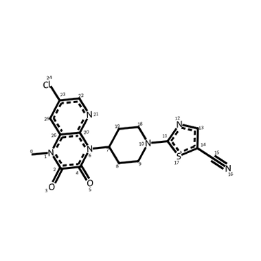 Cn1c(=O)c(=O)n(C2CCN(c3ncc(C#N)s3)CC2)c2ncc(Cl)cc21